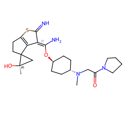 CN(CC(=O)N1CCCC1)[C@H]1CC[C@H](O/C(N)=C2/C(=N)SC3=C2C2(CC3)C[C@@]2(C)O)CC1